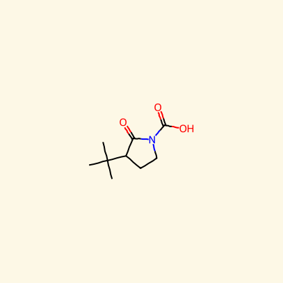 CC(C)(C)C1CCN(C(=O)O)C1=O